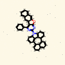 c1ccc(-c2nc(-n3c4cccc5c4c4c(cccc43)-c3cccc4cccc-5c34)nc3oc4cc5ccccc5cc4c23)cc1